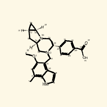 COc1cc(C)c2[nH]ccc2c1CN1C[C@H]2C[C@H]3C[C@H]3N2C[C@@H]1c1ccc(C(=O)O)cc1